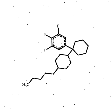 CCCCCC1CCC(C2(c3cc(F)c(F)c(F)c3)CCCCC2)CC1